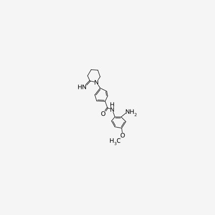 COc1ccc(NC(=O)c2ccc(N3CCCCC3=N)cc2)c(N)c1